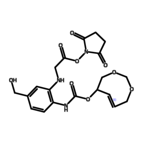 O=C(CNc1cc(CO)ccc1NC(=O)OC1/C=C/COCOC1)ON1C(=O)CCC1=O